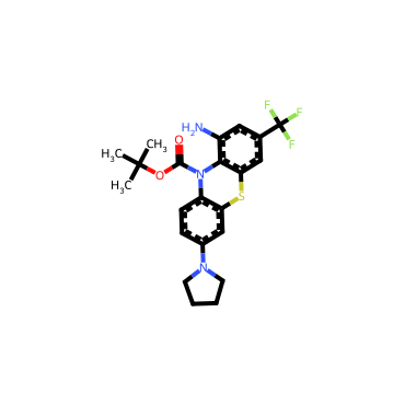 CC(C)(C)OC(=O)N1c2ccc(N3CCCC3)cc2Sc2cc(C(F)(F)F)cc(N)c21